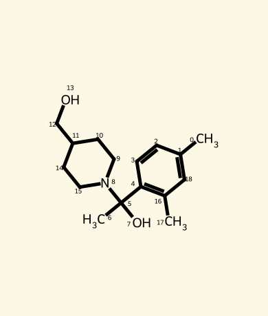 Cc1ccc(C(C)(O)N2CCC(CO)CC2)c(C)c1